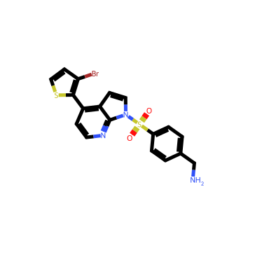 NCc1ccc(S(=O)(=O)n2ccc3c(-c4sccc4Br)ccnc32)cc1